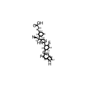 CC(C#N)(c1cccc(CCC(=O)O)c1)c1cnc(-c2cc(Oc3nc4cc[nH]c4cc3F)ccc2F)[nH]1